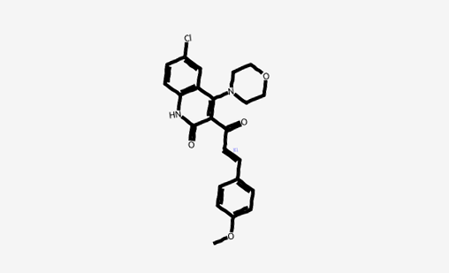 COc1ccc(/C=C/C(=O)c2c(N3CCOCC3)c3cc(Cl)ccc3[nH]c2=O)cc1